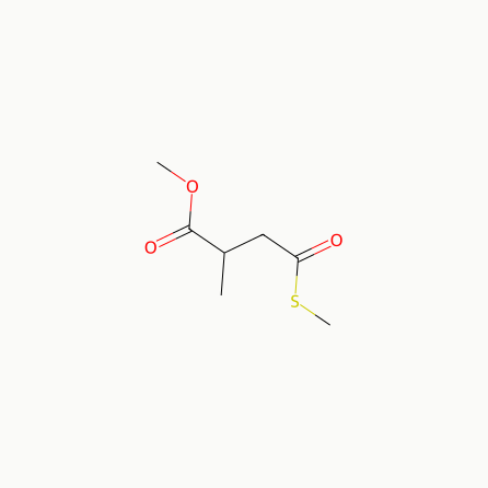 COC(=O)C(C)CC(=O)SC